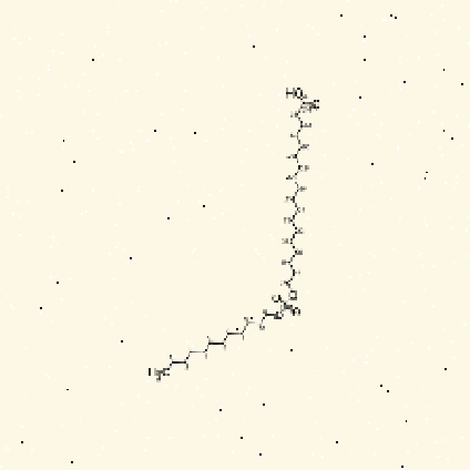 CCCCCCCCCCCCOS(=O)(=O)OCCCCCCCCCCCCCCCCCC(=O)O